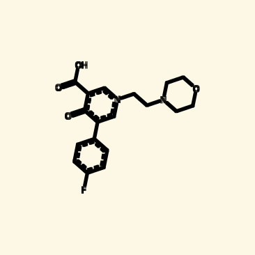 O=C(O)c1cn(CCN2CCOCC2)cc(-c2ccc(F)cc2)c1=O